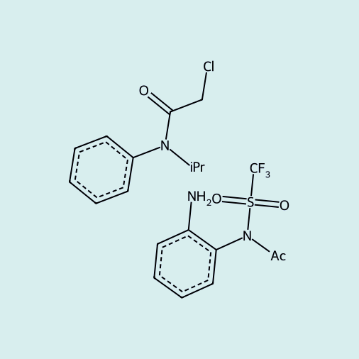 CC(=O)N(c1ccccc1N)S(=O)(=O)C(F)(F)F.CC(C)N(C(=O)CCl)c1ccccc1